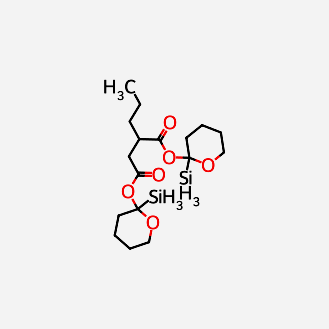 CCCC(CC(=O)OC1([SiH3])CCCCO1)C(=O)OC1([SiH3])CCCCO1